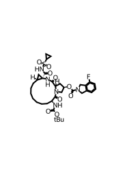 CC(C)(C)OC(=O)N[C@H]1CCCCCCC[C@@H]2C[C@@]2(C(=O)NS(=O)(=O)C2CC2)NC(=O)[C@@H]2C[C@@H](OC(=O)N3Cc4cccc(F)c4C3)CN2C1=O